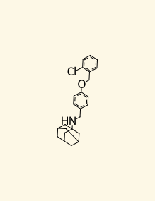 Clc1ccccc1COc1ccc(CNC23CC4CC(CC(C4)C2)C3)cc1